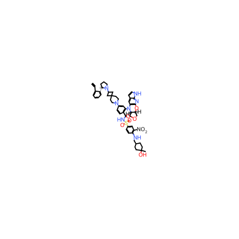 C#Cc1ccccc1[C@@H]1CCCN1C1CC2(CCN(c3ccc(C(=O)NS(=O)(=O)c4ccc(NCC5CCC(C)(O)CC5)c([N+](=O)[O-])c4)c(N4c5cc6cc[nH]c6nc5O[C@H]5COC[C@@H]54)c3)CC2)C1